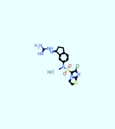 CN(c1ccc2c(c1)C(=NNC(=N)N)CC2)S(=O)(=O)c1c(Cl)nc2sccn12.Cl